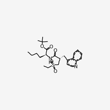 CCCC[C@H](NC(=O)[C@H](Cc1ccnc2ccccc12)CS(=O)(=O)CC)C(=O)OC(C)(C)C